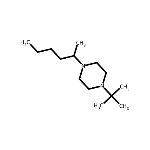 CCCCC(C)N1CCN(C(C)(C)C)CC1